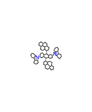 c1cc2ccc3ccc(-c4c5ccc(-n6c7ccccc7c7ccccc76)cc5c(-c5ccc6ccc7cccc8ccc5c6c78)c5ccc(-n6c7ccccc7c7ccccc76)cc45)c4ccc(c1)c2c34